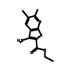 Bc1c(C(=O)OCC)sc2nc(C)c(C)cc12